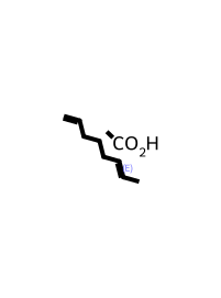 C=CCCC/C=C/C.CC(=O)O